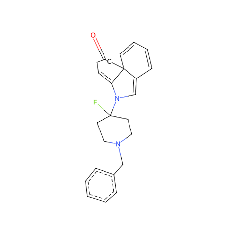 O=C1CC=C2N(C3(F)CCN(Cc4ccccc4)CC3)C=C3C=CC=CC32C1